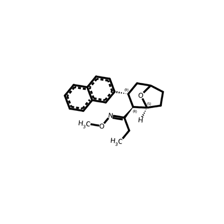 CCC(=NOC)[C@@H]1[C@@H]2CCC(C[C@H]1c1ccc3ccccc3c1)O2